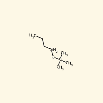 [CH2]CC[SiH2]O[Si](C)(C)C